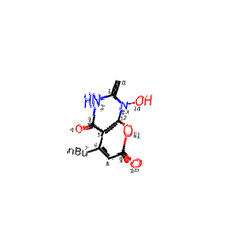 C=C1NC(=O)c2c(CCCC)cc(=O)oc2N1O